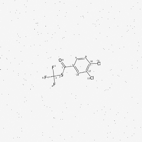 O=C(SC(F)(F)F)c1ccc(Cl)c(Cl)c1